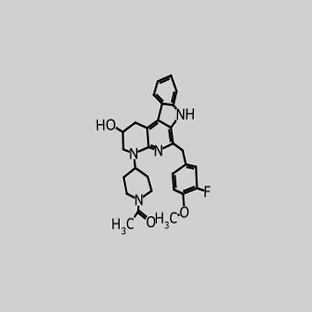 COc1ccc(Cc2nc3c(c4c2[nH]c2ccccc24)CC(O)CN3C2CCN(C(C)=O)CC2)cc1F